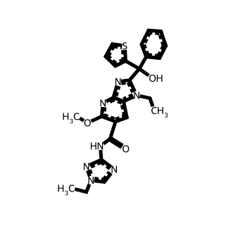 CCn1cnc(NC(=O)c2cc3c(nc2OC)nc(C(O)(c2ccccc2)c2cccs2)n3CC)n1